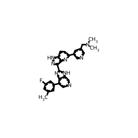 Cc1cc(F)cc(-c2cncc3[nH]c(-c4n[nH]c5ccc(-c6cncc(CN(C)C)c6)nc45)nc23)c1